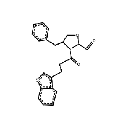 O=CC1OCC(Cc2ccccc2)N1C(=O)CCc1csc2ccccc12